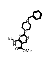 CCNc1nc(N2CCN(Cc3ccccc3)CC2)ncc1C(=O)OC